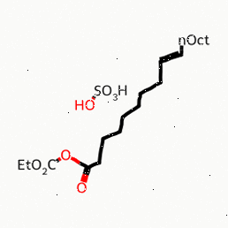 CCCCCCCCC=CCCCCCCCC(=O)OC(=O)OCC.O=S(=O)(O)O